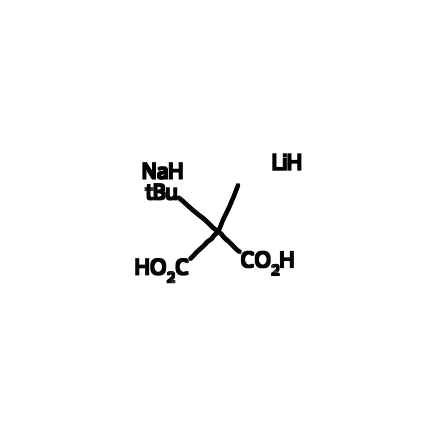 CC(C)(C)C(C)(C(=O)O)C(=O)O.[LiH].[NaH]